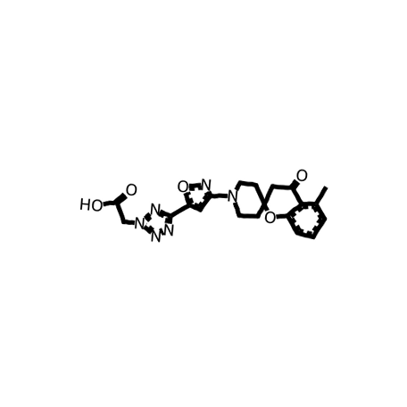 Cc1cccc2c1C(=O)CC1(CCN(c3cc(-c4nnn(CC(=O)O)n4)on3)CC1)O2